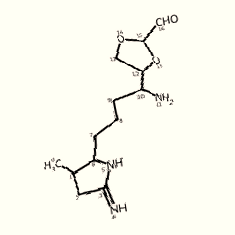 CC1CC(=N)NC1CCCC(N)C1COC(C=O)O1